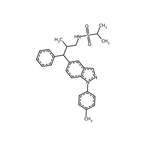 Cc1ccc(-n2ncc3cc(C(c4ccccc4)C(C)CNS(=O)(=O)C(C)C)ccc32)cc1